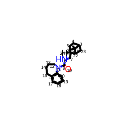 CC1(C)C2CC[C@@H](CNC(=O)N3CCCCc4ccccc43)C1C2